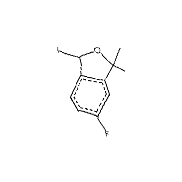 CC1(C)OC(I)c2ccc(F)cc21